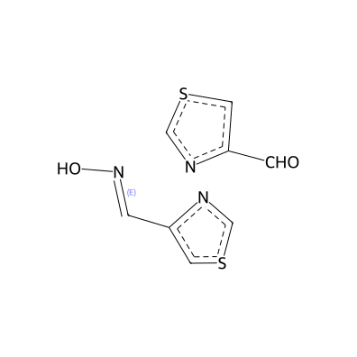 O/N=C/c1cscn1.O=Cc1cscn1